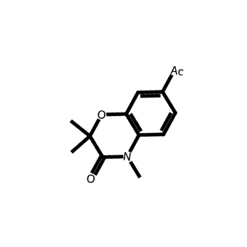 CC(=O)c1ccc2c(c1)OC(C)(C)C(=O)N2C